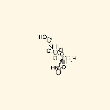 O=C(NCc1cccc(O)c1)c1cc(Cl)c(C(=O)C[C@H](NCC2Nc3ccccc3C2=O)C(=O)O)c(Cl)c1